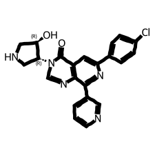 O=c1c2cc(-c3ccc(Cl)cc3)nc(-c3cccnc3)c2ncn1[C@@H]1CNC[C@H]1O